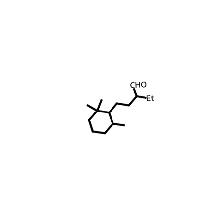 CCC(C=O)CCC1C(C)CCCC1(C)C